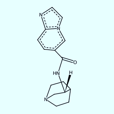 O=C(N[C@H]1CN2CCC1CC2)c1ccc2nccn2c1